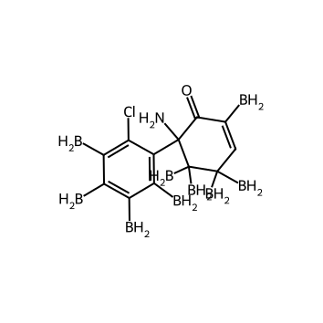 BC1=CC(B)(B)C(B)(B)C(N)(c2c(B)c(B)c(B)c(B)c2Cl)C1=O